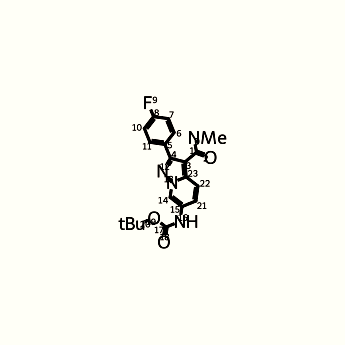 CNC(=O)c1c(-c2ccc(F)cc2)nn2cc(NC(=O)OC(C)(C)C)ccc12